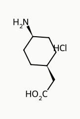 Cl.N[C@H]1CC[C@@H](CC(=O)O)CC1